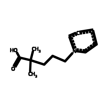 CC(C)(CCC[n+]1ccccc1)C(=O)O